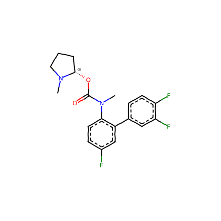 CN(C(=O)O[C@H]1CCCN1C)c1ccc(F)cc1-c1ccc(F)c(F)c1